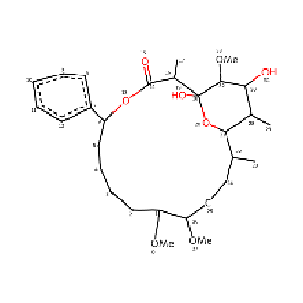 COC1CCCCC(c2ccccc2)OC(=O)C(C)C2(O)OC(C(C)CCC1OC)C(C)C(O)C2OC